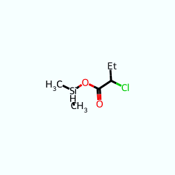 CCC(Cl)C(=O)O[SiH](C)C